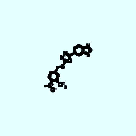 C[S+]([O-])c1ccc(CSc2nnc(-c3ccc4ncsc4c3)o2)cc1C(F)(F)F